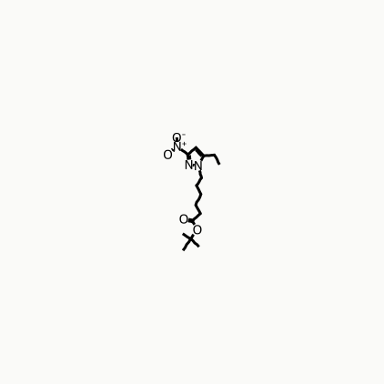 CCc1cc([N+](=O)[O-])nn1CCCCCC(=O)OC(C)(C)C